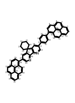 c1cc2ccc3ccc(-c4ccc(-c5cnc6c(c5)C5(CCCCC5)c5cc(-c7ccc8ccc9cccc%10ccc7c8c9%10)cnc5-6)cc4)c4ccc(c1)c2c34